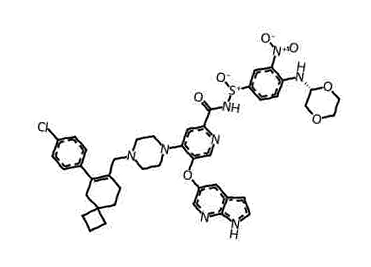 O=C(N[S+]([O-])c1ccc(N[C@H]2COCCO2)c([N+](=O)[O-])c1)c1cc(N2CCN(CC3=C(c4ccc(Cl)cc4)CC4(CCC4)CC3)CC2)c(Oc2cnc3[nH]ccc3c2)cn1